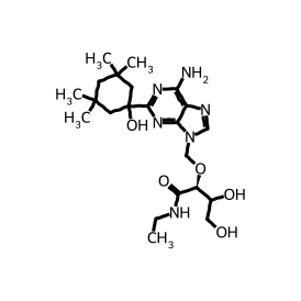 CCNC(=O)[C@@H](OCn1cnc2c(N)nc(C3(O)CC(C)(C)CC(C)(C)C3)nc21)C(O)CO